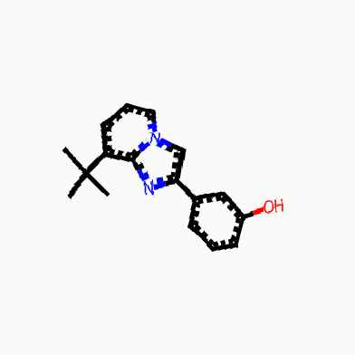 CC(C)(C)c1cccn2cc(-c3cccc(O)c3)nc12